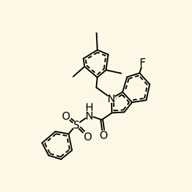 Cc1cc(C)c(Cn2c(C(=O)NS(=O)(=O)c3ccccc3)cc3ccc(F)cc32)c(C)c1